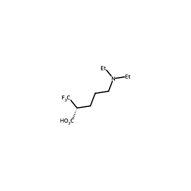 CCN(CC)CCC[C@H](C(=O)O)C(F)(F)F